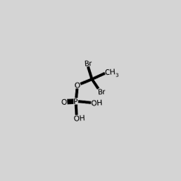 CC(Br)(Br)OP(=O)(O)O